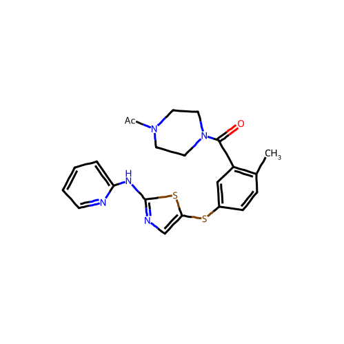 CC(=O)N1CCN(C(=O)c2cc(Sc3cnc(Nc4ccccn4)s3)ccc2C)CC1